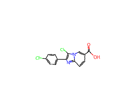 O=C(O)c1ccc2nc(-c3ccc(Cl)cc3)c(Cl)n2c1